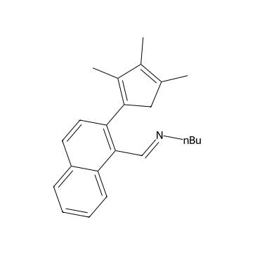 CCCCN=Cc1c(C2=C(C)C(C)=C(C)C2)ccc2ccccc12